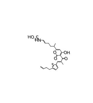 C=CCCc1ccc(C=C(C)C(=O)c2c(O)cc(C(C)CCC=CNC(=O)O)oc2=O)s1